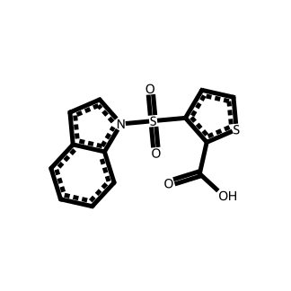 O=C(O)c1sccc1S(=O)(=O)n1ccc2ccccc21